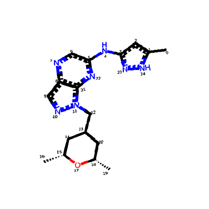 Cc1cc(Nc2cnc3cnn(CC4C[C@@H](C)O[C@@H](C)C4)c3n2)n[nH]1